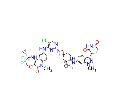 C[C@H]1CC2(CC[C@H]1Nc1ccc3c(C4CCC(=O)NC4=O)nn(C)c3c1)CN(c1ncc(Cl)c(Nc3ccc4c(c3)c3c(c(=O)n4C)OCC(F)(F)[C@H](C4CC4)N3)n1)C2